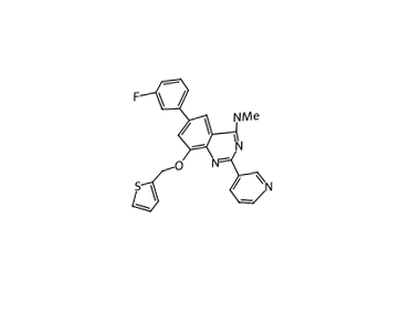 CNc1nc(-c2cccnc2)nc2c(OCc3cccs3)cc(-c3cccc(F)c3)cc12